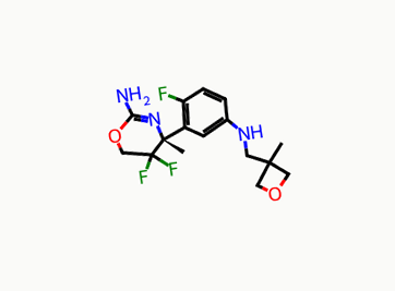 CC1(CNc2ccc(F)c([C@@]3(C)N=C(N)OCC3(F)F)c2)COC1